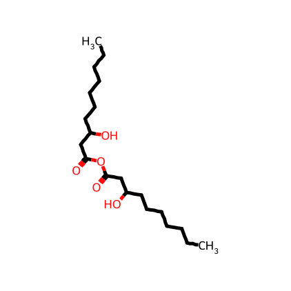 CCCCCCCC(O)CC(=O)OC(=O)CC(O)CCCCCCC